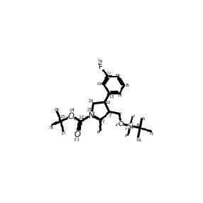 CC1C(CO[Si](C)(C)C(C)(C)C)C(c2cccc(F)c2)CN1C(=O)OC(C)(C)C